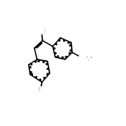 CCc1ccc(C=C(c2ccc(OC)cc2)C(F)(F)F)cc1